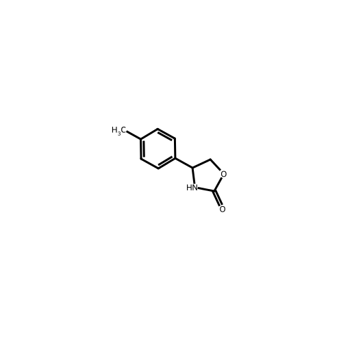 Cc1ccc(C2COC(=O)N2)cc1